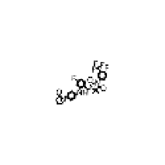 CC1(C)C(=O)N(c2ccc(F)c(C(F)(F)F)c2)C(=O)N1Cc1ccc(F)cc1Nc1ccc(N2CCCC2=O)cc1